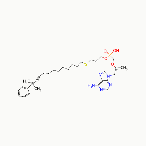 C[C@H](Cn1cnc2c(N)ncnc21)OCP(=O)(O)OCCCSCCCCCCCCCC#C[Si](C)(C)c1ccccc1